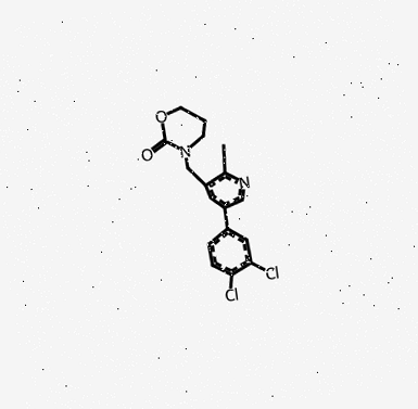 Cc1ncc(-c2ccc(Cl)c(Cl)c2)cc1CN1CCCOC1=O